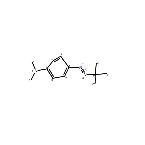 CN(C)c1ccc(/N=N/C(C)(C)C)cc1